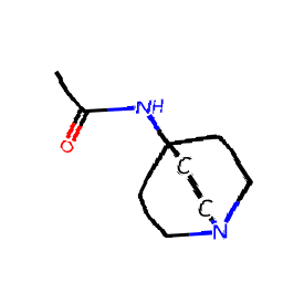 CC(=O)NC12CCN(CC1)CC2